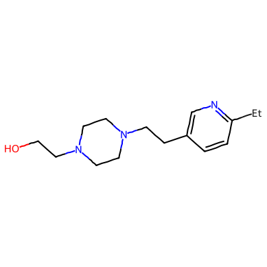 CCc1ccc(CCN2CCN(CCO)CC2)cn1